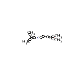 CC1=CC23C=C(C)CC=C2N(c2ccc(-c4ccc5cc(/C=C/c6ccc(N(c7ccc(C)cc7)c7ccc(C)cc7)cc6)ccc5c4)cc2)C3C=C1